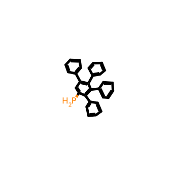 Pc1cc(-c2ccccc2)c(-c2ccccc2)c(-c2ccccc2)c1-c1ccccc1